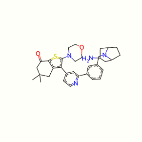 CC1(C)CC(=O)c2sc(N3CCOCC3)c(-c3ccnc(-c4cccc(CN5C6CCC5CC(N)C6)c4)c3)c2C1